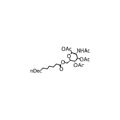 CCCCCCCCCCCCCCCC(=O)OC[C@H]1OC(OC(C)=O)[C@H](NC(C)=O)[C@@H](OC(C)=O)[C@@H]1OC(C)=O